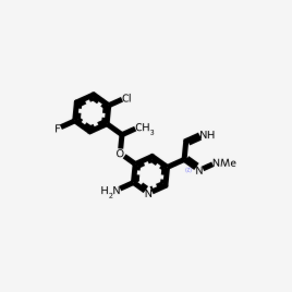 CN/N=C(\C=N)c1cnc(N)c(OC(C)c2cc(F)ccc2Cl)c1